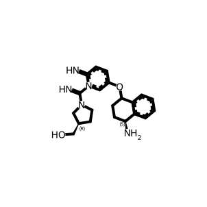 N=C(N1CC[C@@H](CO)C1)n1cc(OC2CC[C@H](N)c3ccccc32)ccc1=N